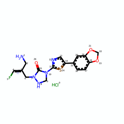 Cl.NC/C(=C/F)CN1NCN(c2ncc(-c3ccc4c(c3)OCO4)s2)C1=O